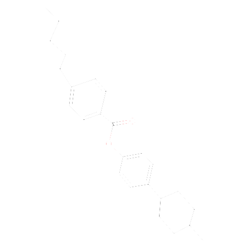 CCCCCc1ccc(C(=O)Oc2ccc(C3CCC(C)CC3)cc2)cc1